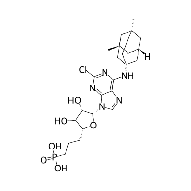 C[C@]12C[C@@H]3C[C@](C)(C1)C[C@@](Nc1nc(Cl)nc4c1ncn4[C@@H]1O[C@H](CCCP(=O)(O)O)C(O)[C@@H]1O)(C3)C2